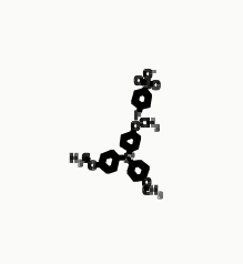 COc1ccc([S+](c2ccc(OC)cc2)c2ccc(OC)cc2)cc1.O=S(=O)([O-])c1ccc(F)cc1